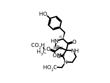 CC(=O)O.CCCCN[C@@H](Cc1ccc(O)cc1)C(=O)C1(CC(=O)OC)NCCN(CC(=O)O)C1=O